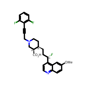 COc1ccc2nccc([C@@H](F)CC[C@@H]3CCN(CC#Cc4c(F)cccc4F)C[C@@H]3C(=O)O)c2c1